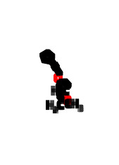 C=C(/C=C/C=C(\C=C/C)OCC#CC1CCCC1)OC